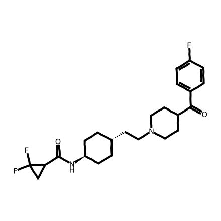 O=C(c1ccc(F)cc1)C1CCN(CC[C@H]2CC[C@H](NC(=O)C3CC3(F)F)CC2)CC1